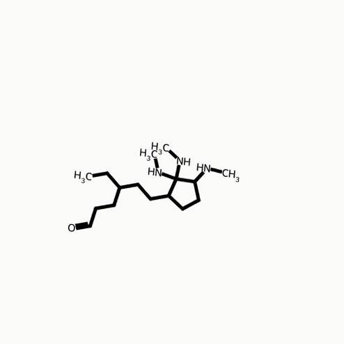 CCC(CCC=O)CCC1CCC(NC)C1(NC)NC